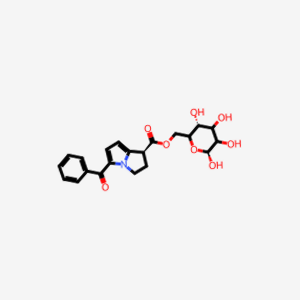 O=C(c1ccccc1)c1ccc2n1CC[C@@H]2C(=O)OCC1O[C@H](O)C(O)C(O)[C@H]1O